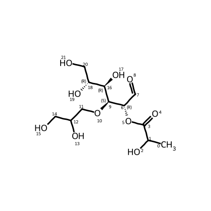 CC(O)C(=O)O[C@@H](C=O)[C@@H](OCC(O)CO)[C@H](O)[C@H](O)CO